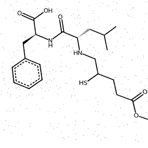 COC(=O)CCC(S)CN[C@@H](CC(C)C)C(=O)N[C@@H](Cc1ccccc1)C(=O)O